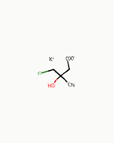 N#CC(O)(CCl)CC(=O)[O-].[K+]